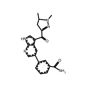 CC1CC(C(=O)c2c[nH]c3ncc(-c4cccc(C(N)=O)c4)cc23)=NN1C